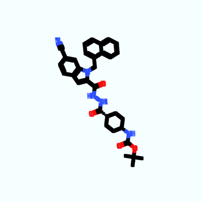 CC(C)(C)OC(=O)N[C@H]1CC[C@H](C(=O)NNC(=O)c2cc3ccc(C#N)cc3n2Cc2cccc3ccccc23)CC1